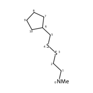 CNCCSSCC1CCCC1